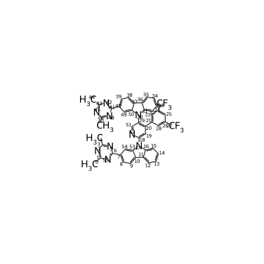 Cc1nc(C)nc(-c2ccc3c4ccccc4n(-c4cc(-c5cc(C(F)(F)F)cc(C(F)(F)F)c5)c(-n5c6ccccc6c6ccc(-c7nc(C)nc(C)n7)cc65)cn4)c3c2)n1